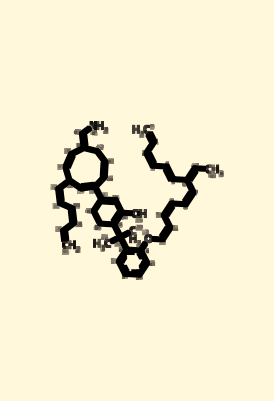 C=C/C=C\C=CC(/C=C\C=C/C=C\Oc1ccccc1C(C)(C)C1=C(O)C=C(C2=C/C(/C=C\C=C/C=C)/C=C\C(=C\N)C/C=C\2)CC1)=C/C